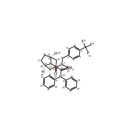 CN(Cc1ccc(C(F)(F)F)cc1)C(=O)N1[C@@H]2CC[C@H]1CN(C(=O)N(c1ccccc1)c1ccccc1)C2